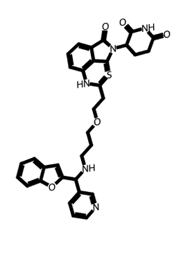 O=C1CCC(N2C(=O)c3cccc4c3C2=S=C(CCOCCCNC(c2cccnc2)c2cc3ccccc3o2)N4)C(=O)N1